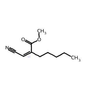 CCCCC/C(=C/C#N)C(=O)OC